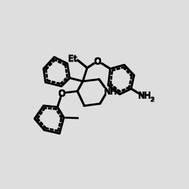 CCC(Oc1ccc(N)cc1)C1(c2ccccc2)CNCCC1Oc1ccccc1C